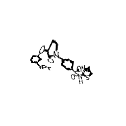 CC(C)c1cccc(OC2CCN(c3ccc(S(=O)(=O)Nc4nccs4)cc3)C2=O)c1